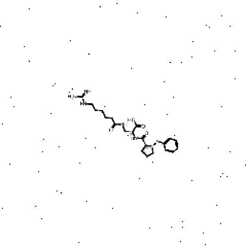 N=C(N)NCCCCCC(=O)NC[C@H](NC(=O)[C@@H]1CCCN1Sc1ccccc1)C(=O)O